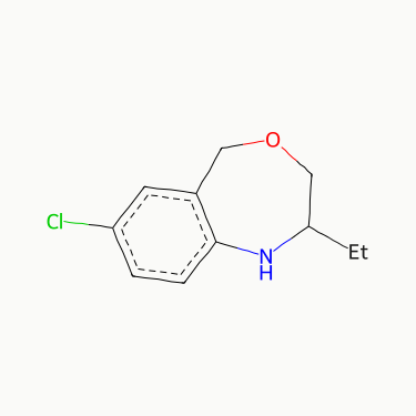 CCC1COCc2cc(Cl)ccc2N1